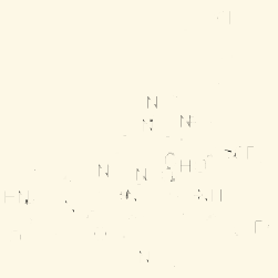 O=C1CN(C(=O)c2nc(Cn3nc(-c4ccc(Cl)cc4)n(C[C@H](O)C(F)(F)F)c3=O)nn2-c2cnccc2C(=O)NC2CC2F)CCN1